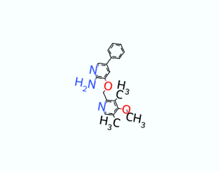 COc1c(C)cnc(COc2cc(-c3ccccc3)cnc2N)c1C